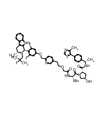 Cc1ncsc1-c1ccc([C@H](C)NC(=O)[C@@H]2C[C@@H](O)CN2C(=O)[C@@H](NC(=O)COCCc2ccc(COc3cc(F)c([C@@H]4c5[nH]c6ccccc6c5C[C@@H](C)N4CC(C)(C)F)c(F)c3)nc2)C(C)(C)C)cc1